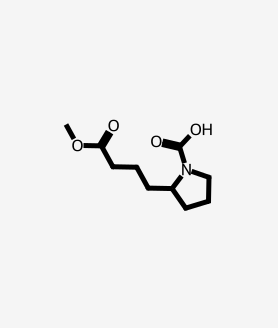 COC(=O)CCCC1CCCN1C(=O)O